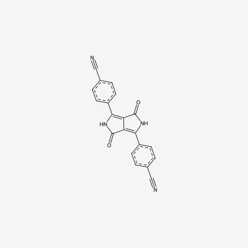 N#Cc1ccc(C2=C3C(=O)NC(c4ccc(C#N)cc4)=C3C(=O)N2)cc1